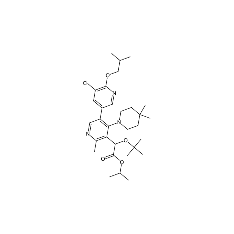 Cc1ncc(-c2cnc(OCC(C)C)c(Cl)c2)c(N2CCC(C)(C)CC2)c1C(OC(C)(C)C)C(=O)OC(C)C